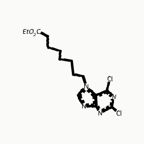 CCOC(=O)CCCCCCCn1cnc2nc(Cl)nc(Cl)c21